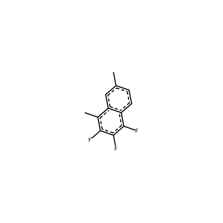 Cc1ccc2c(F)c(F)c(F)c(C)c2c1